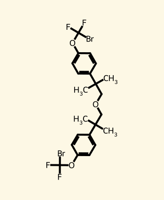 CC(C)(COCC(C)(C)c1ccc(OC(F)(F)Br)cc1)c1ccc(OC(F)(F)Br)cc1